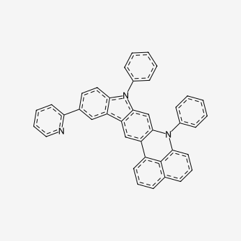 c1ccc(N2c3cc4c(cc3-c3cccc5cccc2c35)c2cc(-c3ccccn3)ccc2n4-c2ccccc2)cc1